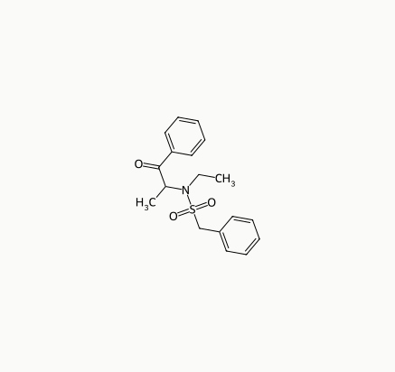 CCN(C(C)C(=O)c1ccccc1)S(=O)(=O)Cc1ccccc1